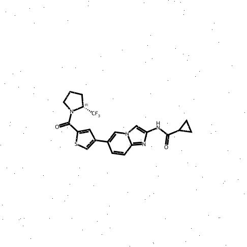 O=C(Nc1cn2cc(-c3csc(C(=O)N4CCC[C@@H]4C(F)(F)F)c3)ccc2n1)C1CC1